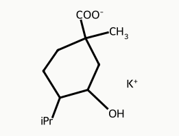 CC(C)C1CCC(C)(C(=O)[O-])CC1O.[K+]